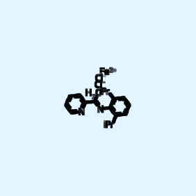 CC(=Nc1c(C(C)C)cccc1C(C)C)c1ccccn1.[Cl-].[Cl-].[Fe+2]